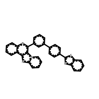 c1cc(-c2ccc(-c3nc4ccccc4s3)cc2)cc(-c2nc3ccccc3c3nc4ccccn4c23)c1